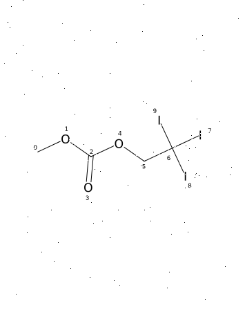 COC(=O)OCC(I)(I)I